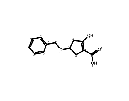 O=C(O)C1=C(O)CC(OCc2ccccc2)C1